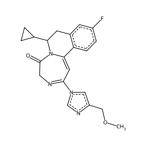 COCc1cn(C2=NCC(=O)N3C(=C2)c2ccc(F)cc2CC3C2CC2)cn1